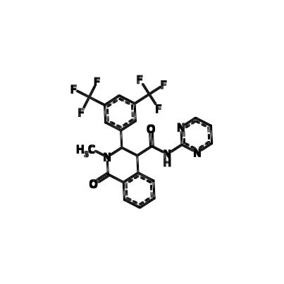 CN1C(=O)c2ccccc2C(C(=O)Nc2ncccn2)C1c1cc(C(F)(F)F)cc(C(F)(F)F)c1